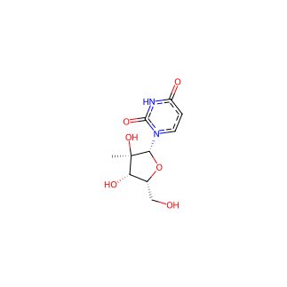 C[C@@]1(O)[C@@H](O)[C@@H](CO)O[C@H]1n1ccc(=O)[nH]c1=O